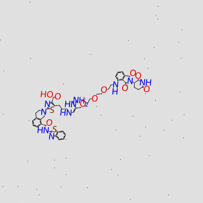 NN/C(=C\NCCCc1sc(N2CCc3cccc(C(=O)Nc4nc5ccccc5s4)c3C2)nc1C(=O)O)COCCOCCOCCNc1cccc2c1C(=O)N(C1CCC(=O)NC1=O)C2=O